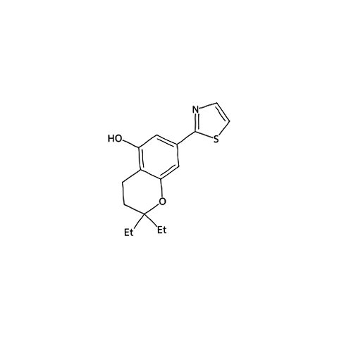 CCC1(CC)CCc2c(O)cc(-c3nccs3)cc2O1